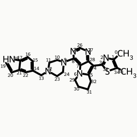 Cc1nc(-c2c3n(c4c(N5CCN(Cc6ccc7[nH]ccc7c6)CC5)ncnc24)CCCC3)sc1C